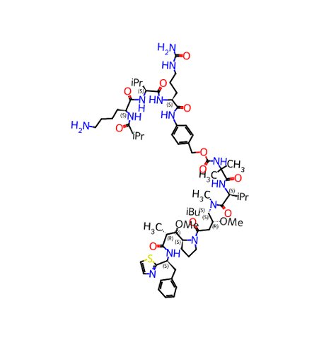 CC[C@H](C)[C@@H]([C@@H](CC(=O)N1CCC[C@H]1[C@H](OC)[C@@H](C)C(=O)N[C@@H](Cc1ccccc1)c1nccs1)OC)N(C)C(=O)[C@@H](NC(=O)C(C)(C)NC(=O)OCc1ccc(NC(=O)[C@H](CCCNC(N)=O)NC(=O)[C@@H](NC(=O)[C@H](CCCCN)NC(=O)C(C)C)C(C)C)cc1)C(C)C